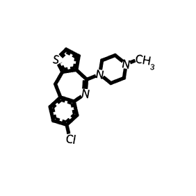 CN1CCN(C2=Nc3cc(Cl)ccc3Cc3sccc32)CC1